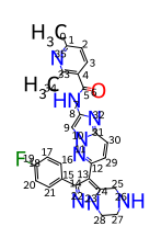 Cc1ccc(C(=O)Nc2cn3nc(-c4c(-c5ccc(F)cc5)nn5c4CNCC5)ccc3n2)c(C)n1